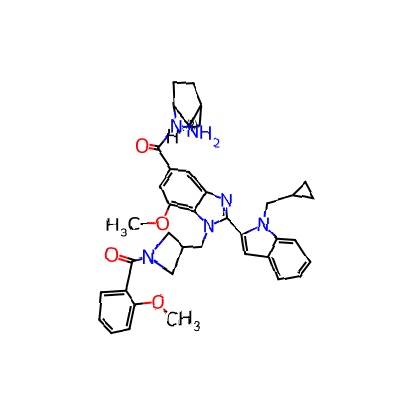 COc1ccccc1C(=O)N1CC(Cn2c(-c3cc4ccccc4n3CC3CC3)nc3cc(C(=O)N4CC5CCC4[C@@H]5N)cc(OC)c32)C1